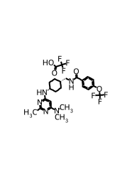 Cc1nc(N[C@H]2CC[C@@H](CNC(=O)c3ccc(OC(F)(F)F)cc3)CC2)cc(N(C)C)n1.O=C(O)C(F)(F)F